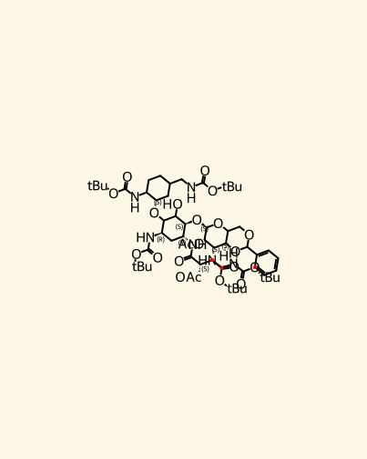 CC(=O)OC1[C@@H](O[C@@H]2C(O)C(O[C@H]3CC(CNC(=O)OC(C)(C)C)CCC3NC(=O)OC(C)(C)C)[C@H](NC(=O)OC(C)(C)C)C[C@H]2NC(=O)[C@H](CCNC(=O)OC(C)(C)C)OC(C)=O)OC2COC(c3ccccc3)O[C@H]2[C@@H]1NC(=O)OC(C)(C)C